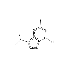 Cc1nc(Cl)n2ncc(C(C)C)c2n1